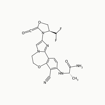 C[C@H](Nc1ccc2c(c1C#N)OCCn1cc(N3C(=C=O)OC[C@H]3C(F)F)nc1-2)C(N)=O